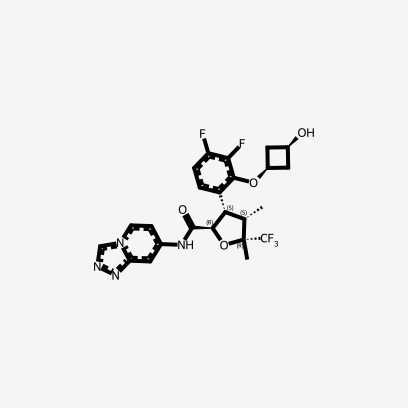 C[C@H]1[C@@H](c2ccc(F)c(F)c2O[C@H]2C[C@@H](O)C2)[C@H](C(=O)Nc2ccn3cnnc3c2)O[C@@]1(C)C(F)(F)F